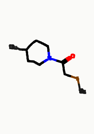 CC(C)(C)SCC(=O)N1CCC(C(C)(C)C)CC1